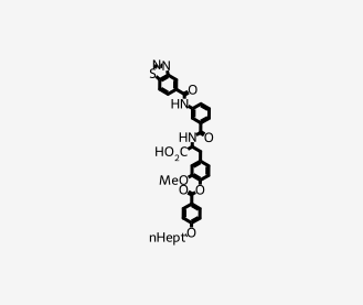 CCCCCCCOc1ccc(C(=O)Oc2ccc(CC(NC(=O)c3cccc(NC(=O)c4ccc5snnc5c4)c3)C(=O)O)cc2OC)cc1